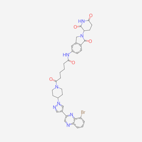 O=C1CCC(N2Cc3cc(NC(=O)CCCCC(=O)N4CCC(n5cc(-c6cnc7cccc(Br)c7n6)cn5)CC4)ccc3C2=O)C(=O)N1